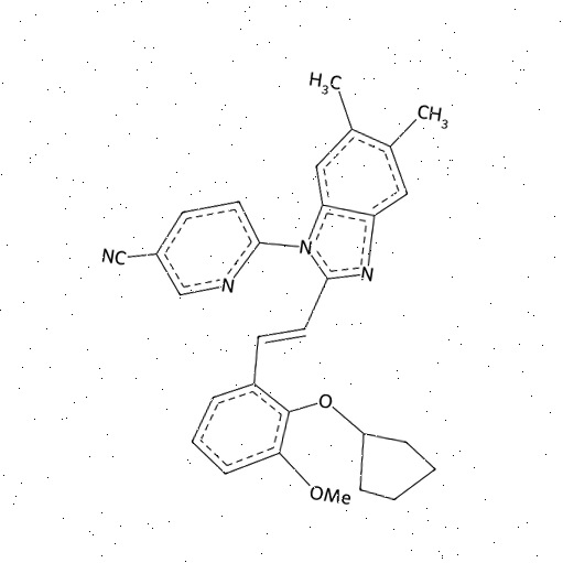 COc1cccc(/C=C/c2nc3cc(C)c(C)cc3n2-c2ccc(C#N)cn2)c1OC1CCCC1